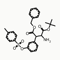 Cc1ccc(S(=O)(=O)Oc2cccc(C(C(=O)OCc3ccccc3)C(N)C(=O)OC(C)(C)C)c2)cc1